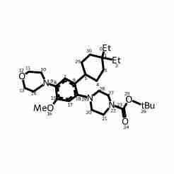 CCC1(CC)CCC(c2cc(N3CCOCC3)c(OC)cc2N2CCN(C(=O)OC(C)(C)C)CC2)CC1